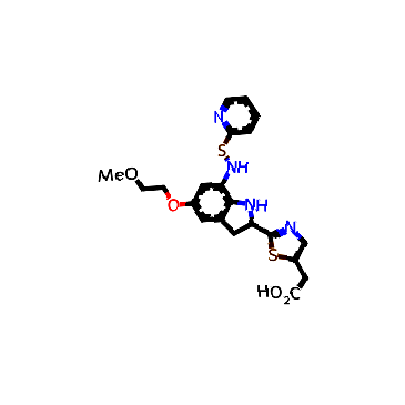 COCCOc1cc2c(c(NSc3ccccn3)c1)NC(C1=NCC(CC(=O)O)S1)C2